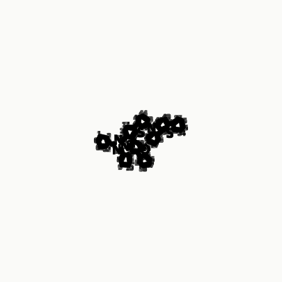 c1ccc(-c2nc(-c3ccccc3)nc(-c3ccc4c(sc5c(-n6c7ccccc7c7c8sc9ccccc9c8ccc76)cccc54)c3-c3ccc4c(c3)oc3ccccc34)n2)cc1